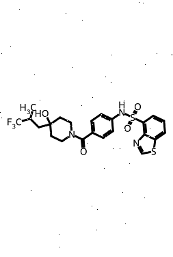 CC(CC1(O)CCN(C(=O)c2ccc(NS(=O)(=O)c3cccc4scnc34)cc2)CC1)C(F)(F)F